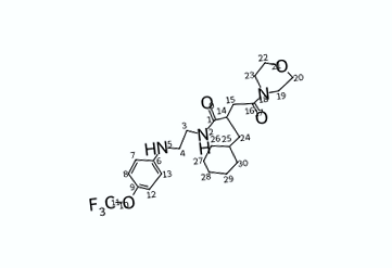 O=C(NCCNc1ccc(OC(F)(F)F)cc1)C(CC(=O)N1CCOCC1)CC1CCCCC1